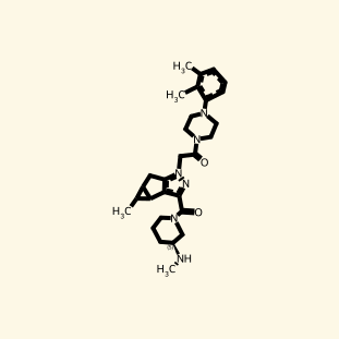 CN[C@H]1CCCN(C(=O)c2nn(CC(=O)N3CCN(c4cccc(C)c4C)CC3)c3c2C2C(C)C2C3)C1